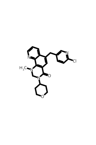 CN1CN(C2CCOCC2)C(=O)c2cc(Cc3ccc(Cl)nc3)c3cccnc3c21